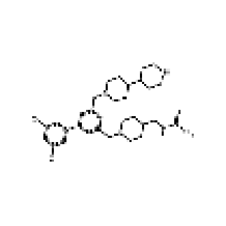 O=C(NCC1CCN(Cc2cc(CN3CCC(C4CCNCC4)CC3)cc(-c3cc(Cl)cc(Cl)c3)c2)CC1)C(F)(F)F